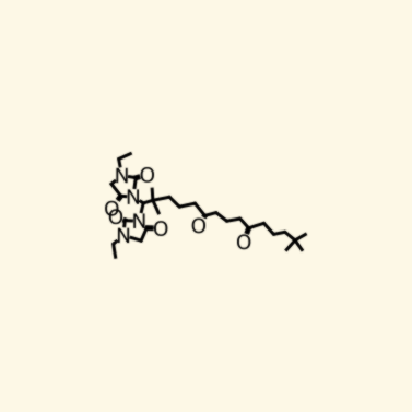 CCN1CC(=O)N(C(N2C(=O)CN(CC)C2=O)C(C)(C)CCCC(=O)CCCC(=O)CCCC(C)(C)C)C1=O